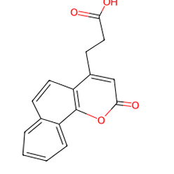 O=C(O)CCc1cc(=O)oc2c1ccc1ccccc12